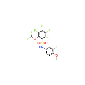 COc1ccc(NS(=O)(=O)c2c(F)c(F)c(F)c(F)c2OC(F)F)cc1F